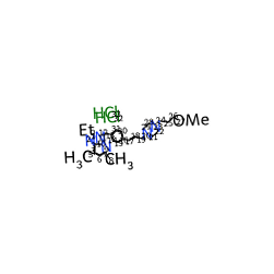 CCc1nc2c(C)cc(C)nc2n1Cc1ccc(/C=C/CN2CCN(CCCOC)CC2)cc1.Cl.Cl